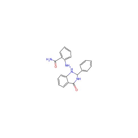 NC(=O)c1ccccc1N.O=C1NC(c2ccccc2)Nc2ccccc21